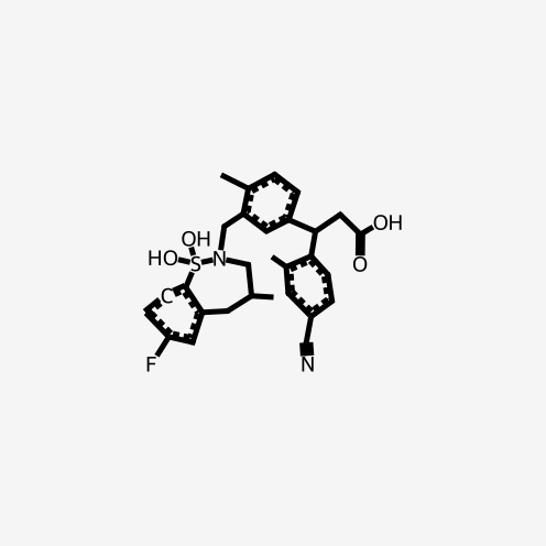 Cc1ccc(C(CC(=O)O)c2ccc(C#N)cc2C)cc1CN1CC(C)Cc2cc(F)ccc2S1(O)O